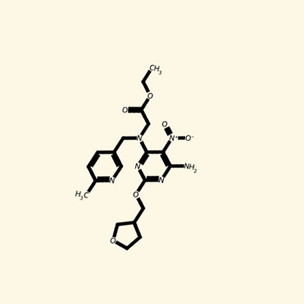 CCOC(=O)CN(Cc1ccc(C)nc1)c1nc(OCC2CCOC2)nc(N)c1[N+](=O)[O-]